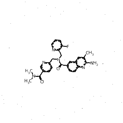 Cc1cc2cc(C(=O)N(Cc3ccc(C(=O)N(C)C)cn3)Cc3ncccc3F)ccc2nc1N